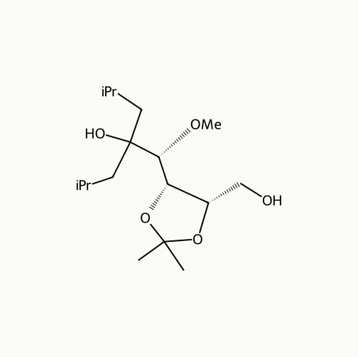 CO[C@H]([C@H]1OC(C)(C)O[C@H]1CO)C(O)(CC(C)C)CC(C)C